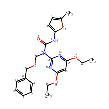 O=C(Nc1ccc(C(F)(F)F)s1)N(COCc1ccccc1)c1nc(OCC(F)(F)F)cc(OCC(F)(F)F)n1